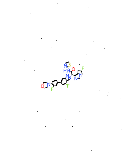 O=C(Nc1nccs1)C(c1ncn2c1C[C@@H](F)C2)n1cc2c(F)cc(-c3ccc(N4CCOCC4)c(F)c3)cc2n1